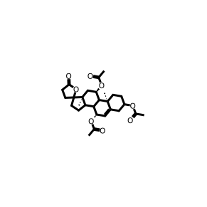 CC(=O)OC1CC[C@@]2(C)C(=C[C@H](OC(C)=O)C3C2[C@H](OC(C)=O)C[C@@]2(C)C3CCC23CCC(=O)O3)C1